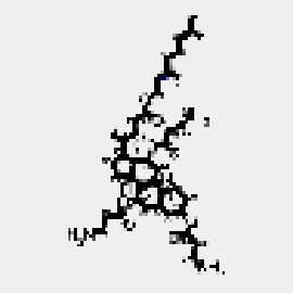 CC(C)=CCC/C(C)=C/COC(=O)CCC(C)C1CC[C@H]2C3[C@H](OC(=O)CCN)CC4C[C@H](OC(=O)CCN)CC[C@]4(C)[C@H]3C[C@H](OC(=O)CCN)[C@]12C